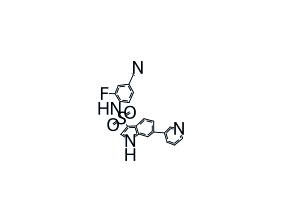 N#Cc1ccc(NS(=O)(=O)c2c[nH]c3cc(-c4cccnc4)ccc23)c(F)c1